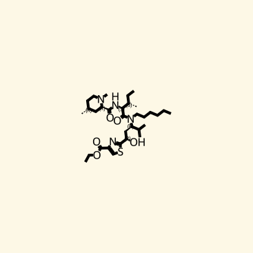 CCCCCCN(C(=O)[C@@H](NC(=O)[C@H]1C[C@H](C)CCN1C)[C@@H](C)CC)[C@H](C[C@@H](O)c1nc(C(=O)OCC)cs1)C(C)C